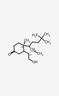 CC[C@H](CO)C1CC(=O)CC[C@]1(C)C(C)CCC(C)(C)C